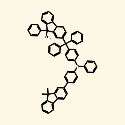 CC1(C)c2ccccc2-c2ccc(-c3ccc(N(c4ccccc4)c4ccc(C(C5=CCC6C(=C5)C(P)(c5ccccc5)c5ccccc56)(c5ccccc5)c5ccccc5)cc4)cc3)cc21